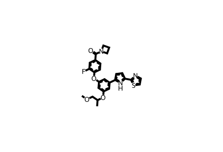 COCC(C)Oc1cc(Oc2ccc(C(=O)N3CCC3)cc2F)cc(-c2ccc(-c3nccs3)[nH]2)c1